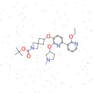 CCOc1ncccc1-c1ccc(OC2CC3(C2)CN(C(=O)OC(C)(C)C)C3)c(OC2CCN(C)C2)n1